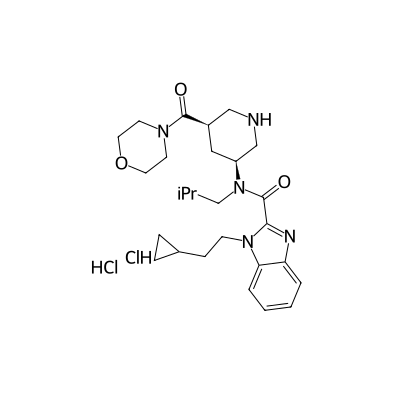 CC(C)CN(C(=O)c1nc2ccccc2n1CCC1CC1)[C@@H]1CNC[C@H](C(=O)N2CCOCC2)C1.Cl.Cl